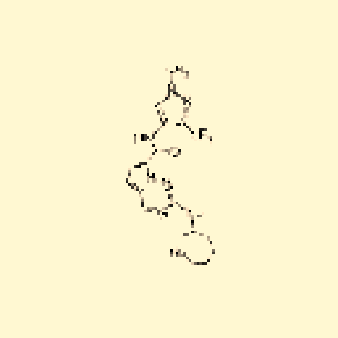 Cn1cc(NC(=O)c2ccc3cnc(N[C@H]4CCCCNC4)nn23)c(C(F)(F)F)n1